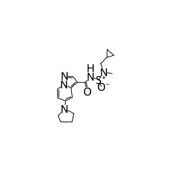 CN(CC1CC1)[S+]([O-])NC(=O)c1cnn2ccc(N3CCCC3)cc12